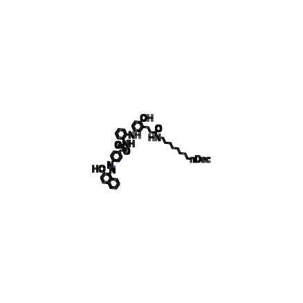 CCCCCCCCCCCCCCCCCCNC(=O)CCc1cc(Nc2ccccc2NS(=O)(=O)c2ccc(/N=N/c3c(O)ccc4ccccc34)cc2)ccc1O